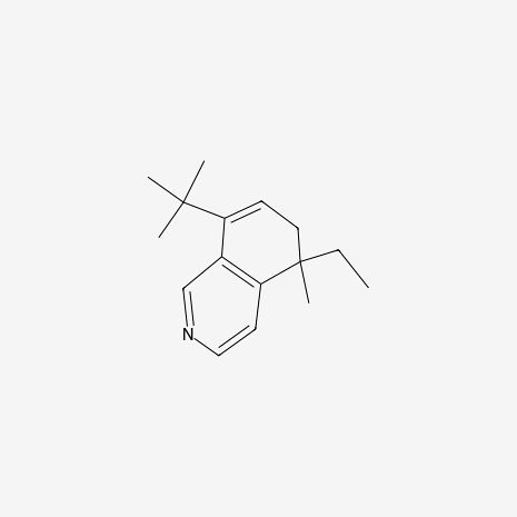 CCC1(C)CC=C(C(C)(C)C)c2cnccc21